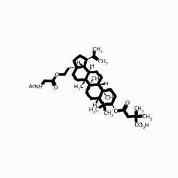 C=C(C)[C@@H]1CC[C@]2(CCOC(=O)CNC(C)=O)CC[C@]3(C)[C@H](CC[C@@H]4[C@@]5(C)CC[C@H](OC(=O)CC(C)(C)C(=O)O)C(C)(C)[C@@H]5CC[C@]43C)[C@@H]12